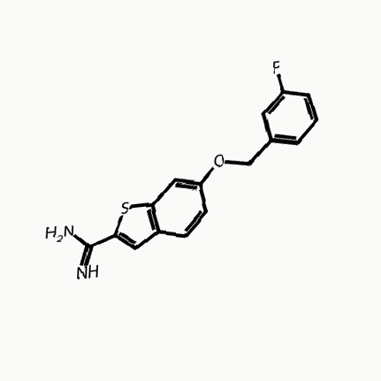 N=C(N)c1cc2ccc(OCc3cccc(F)c3)cc2s1